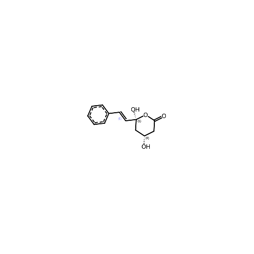 O=C1C[C@H](O)C[C@@](O)(/C=C/c2ccccc2)O1